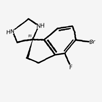 Fc1c(Br)ccc2c1CC[C@]21CNCN1